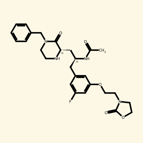 CC(=O)N[C@@H](Cc1cc(F)cc(OCCN2CCOC2=O)c1)C[C@@H]1NCCN(Cc2ccccc2)C1=O